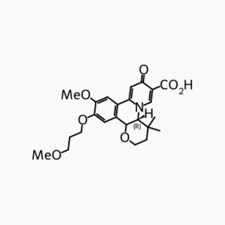 COCCCOc1cc2c(cc1OC)-c1cc(=O)c(C(=O)O)cn1[C@H]1C2OCCC1(C)C